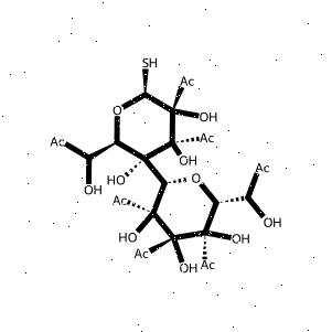 CC(=O)C(O)[C@H]1O[C@@H](S)[C@@](O)(C(C)=O)[C@](O)(C(C)=O)[C@@]1(O)[C@@H]1O[C@H](C(O)C(C)=O)[C@](O)(C(C)=O)[C@@](O)(C(C)=O)[C@]1(O)C(C)=O